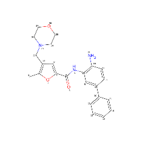 Cc1oc(C(=O)Nc2cc(-c3ccccc3)ccc2N)cc1CN1CCOCC1